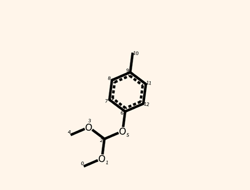 COC(OC)Oc1ccc(C)cc1